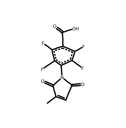 CC1=CC(=O)N(c2c(F)c(F)c(C(=O)O)c(F)c2F)C1=O